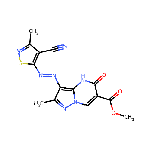 COC(=O)c1cn2nc(C)c(/N=N/c3snc(C)c3C#N)c2[nH]c1=O